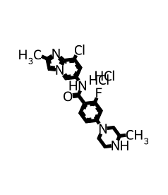 Cc1cn2cc(NC(=O)c3ccc(N4CCNC(C)C4)cc3F)cc(Cl)c2n1.Cl.Cl